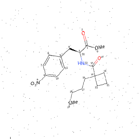 COC(=O)[C@H](Cc1ccc([N+](=O)[O-])cc1)NC(=O)C1(CCCSC)CCC1